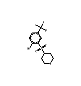 O=S(=O)(c1nc(C(F)(F)F)ccc1Br)C1CCSCC1